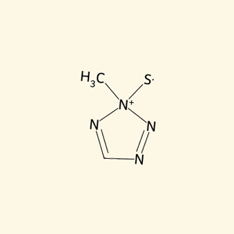 C[N+]1([S])N=CN=N1